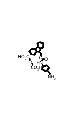 NCc1ccc(NC(=O)OCC2c3ccccc3-c3ccccc32)cc1.O=C(O)COCC(=O)O